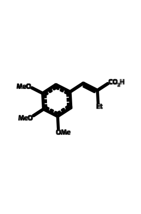 CC/C(=C\c1cc(OC)c(OC)c(OC)c1)C(=O)O